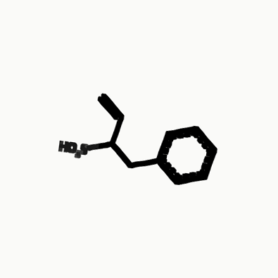 C=CC(Cc1ccccc1)S(=O)(=O)O